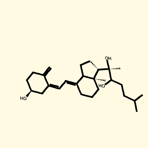 C=C1CC[C@H](O)C/C1=C/C=C1CCC[C@@]2(C)C1CC[C@@H]2[C@@](C)(O)C(O)CCC(C)C